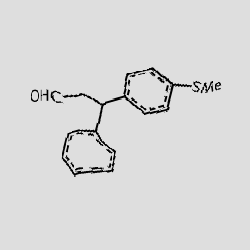 CSc1ccc(C(CC=O)c2ccccc2)cc1